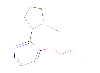 CN1CCCC1c1ncccc1OCCN